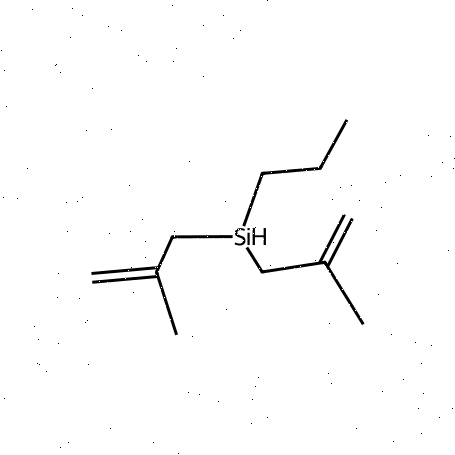 C=C(C)C[SiH](CCC)CC(=C)C